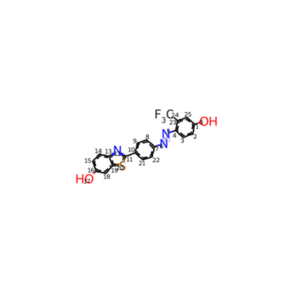 Oc1ccc(/N=N/c2ccc(-c3nc4ccc(O)cc4s3)cc2)c(C(F)(F)F)c1